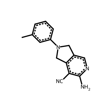 Cc1cccc(N2Cc3cnc(N)c(C#N)c3C2)c1